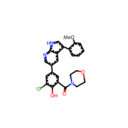 COc1ccccc1-c1c[nH]c2ncc(-c3cc(Cl)c(O)c(C(=O)N4CCOCC4)c3)cc12